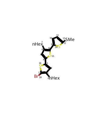 CCCCCCc1cc(-c2cc(CCCCCC)c(-c3ccc(SC)s3)s2)sc1Br